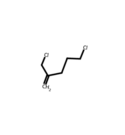 C=C(CCl)CCCCl